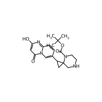 CC(C)(C)OC(=O)N1CCNCC12CC2c1ccc2nc(O)cc(=O)n2c1